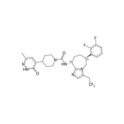 Cc1cc(C2CCN(C(=O)N[C@@H]3CC[C@@H](c4cccc(F)c4F)Cn4c(CC(F)(F)F)cnc43)CC2)c(=O)[nH]n1